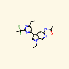 CCc1cc(-c2cn(CC)c3cnc(NC(C)=O)cc23)nc(C(C)(F)F)n1